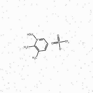 CCCCCCCC[n+]1cccc(C)c1C.O=S(=O)([O-])C(F)(F)F